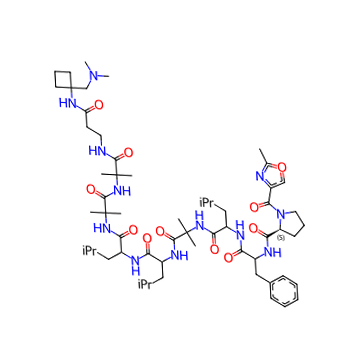 Cc1nc(C(=O)N2CCC[C@H]2C(=O)NC(Cc2ccccc2)C(=O)NC(CC(C)C)C(=O)NC(C)(C)C(=O)NC(CC(C)C)C(=O)NC(CC(C)C)C(=O)NC(C)(C)C(=O)NC(C)(C)C(=O)NCCC(=O)NC2(CN(C)C)CCC2)co1